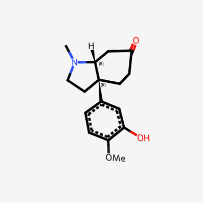 COc1ccc([C@]23CCC(=O)C[C@H]2N(C)CC3)cc1O